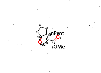 CCCCCC1(C(C(C)=O)C(=O)OC)CCCC1=O